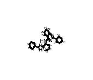 c1ccc(CNc2ncccc2Nc2nc(-c3ccccc3)nc3ccccc23)cc1